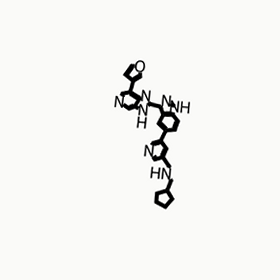 c1cc(-c2cncc3[nH]c(-c4n[nH]c5ccc(-c6cncc(CNCC7CCCC7)c6)cc45)nc23)co1